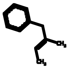 CC=C(C)Cc1ccccc1